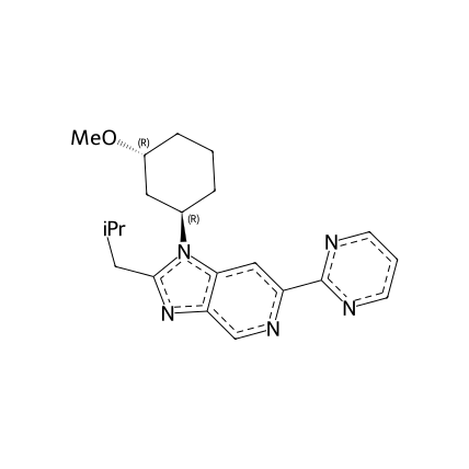 CO[C@@H]1CCC[C@@H](n2c(CC(C)C)nc3cnc(-c4ncccn4)cc32)C1